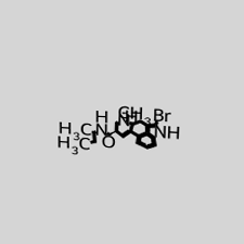 CC[C@@H](C)NC(=O)[C@@H]1C=C2c3cccc4[nH]c(Br)c(c34)C[C@H]2N(C)C1